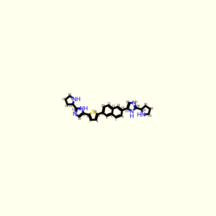 c1cc2cc(-c3ccc(-c4cnc(C5CCCN5)[nH]4)s3)ccc2cc1-c1cnc(C2CCCN2)[nH]1